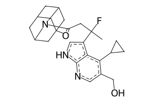 CC12CC3CC(C1)N(C(=O)CC(C)(F)c1c[nH]c4ncc(CO)c(C5CC5)c14)C(C3)C2